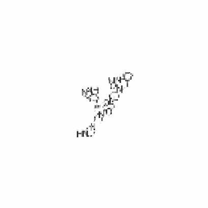 Cc1cc([C@@H](C)C(OC(=O)N2CCC(N3CCc4ccccc4NC3=O)CC2)C(=O)N2CCC(N3CCCNCC3)CC2)cc2cn[nH]c12